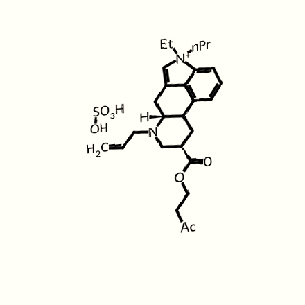 C=CCN1C[C@H](C(=O)OCCC(C)=O)CC2c3cccc4c3C(=C[N+]4(CC)CCC)C[C@H]21.O=S(=O)(O)O